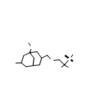 COC12CC(C)CC(CC(COCC(F)(F)S(=O)(=O)O)C1)C2